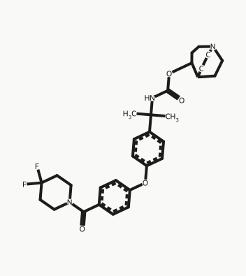 CC(C)(NC(=O)OC1CCN2CCC1CC2)c1ccc(Oc2ccc(C(=O)N3CCC(F)(F)CC3)cc2)cc1